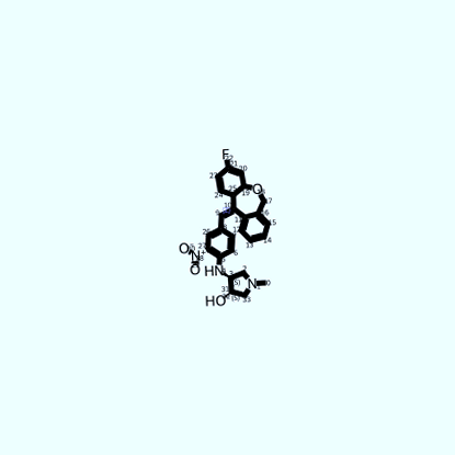 CN1C[C@H](Nc2ccc(/C=C3\c4ccccc4COC4C=C(F)C=CC34)cc2[N+](=O)[O-])[C@@H](O)C1